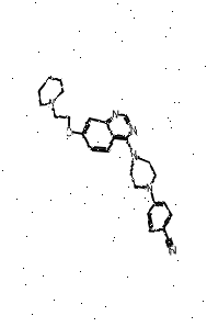 N#Cc1ccc(N2CCN(c3ncnc4cc(OCCN5CCCCC5)ccc34)CC2)cc1